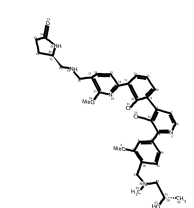 COc1cc(-c2nccc(-c3cccc(-c4ccc(CNC[C@H]5CCC(=O)N5)c(OC)n4)c3Cl)c2Cl)ccc1CN(C)C[C@H](C)O